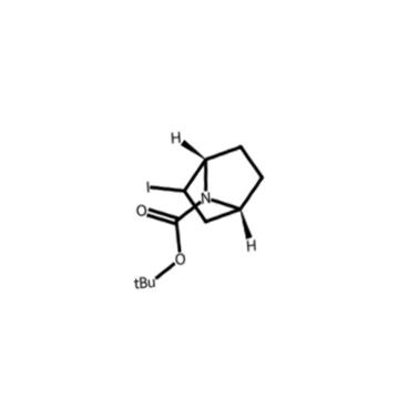 CC(C)(C)OC(=O)N1[C@@H]2CC[C@H]1C(I)C2